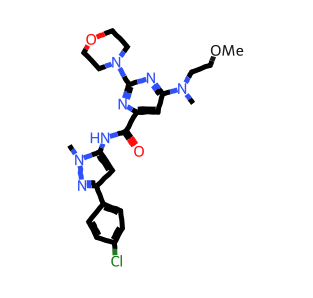 COCCN(C)c1cc(C(=O)Nc2cc(-c3ccc(Cl)cc3)nn2C)nc(N2CCOCC2)n1